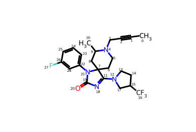 CC#CCN1CCC2(CC1C)C(N1CCC(C(F)(F)F)C1)=NC(=O)N2c1cccc(F)c1